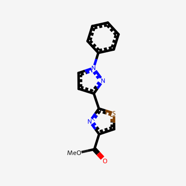 COC(=O)c1csc(-c2ccn(-c3ccccc3)n2)n1